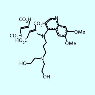 COc1cc2nccc(N(C)CCCN(CCO)CCO)c2cc1OC.O=C(O)C=CC(=O)O.O=C(O)C=CC(=O)O